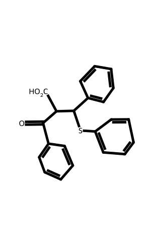 O=C(O)C(C(=O)c1ccccc1)C(Sc1ccccc1)c1ccccc1